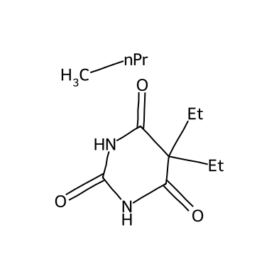 CCC1(CC)C(=O)NC(=O)NC1=O.CCCC